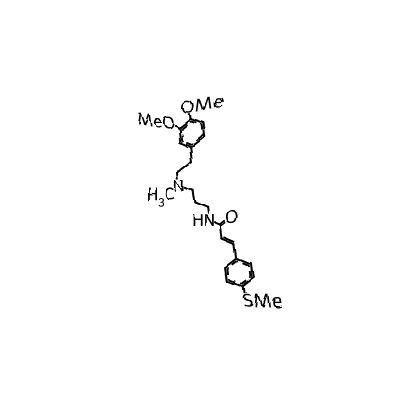 COc1ccc(CCN(C)CCCNC(=O)/C=C/c2ccc(SC)cc2)cc1OC